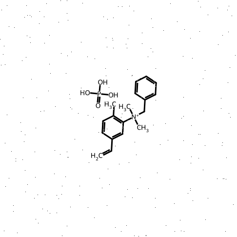 C=Cc1ccc(C)c([N+](C)(C)Cc2ccccc2)c1.O=P(O)(O)O